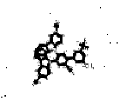 Cc1cc(-c2cc(-n3c4ccccc4c4cc(C#N)ccc43)c(-n3c4ccccc4c4cc(C#N)ccc43)cc2C#N)cc(C(F)(F)F)c1